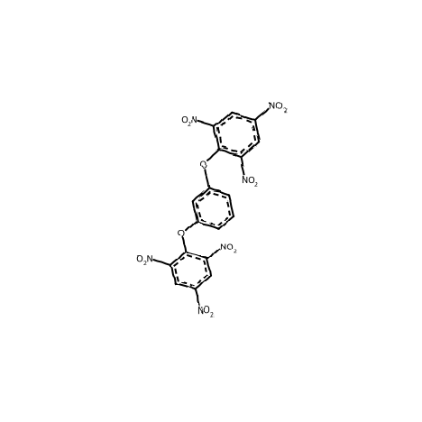 O=[N+]([O-])c1cc([N+](=O)[O-])c(Oc2cccc(Oc3c([N+](=O)[O-])cc([N+](=O)[O-])cc3[N+](=O)[O-])c2)c([N+](=O)[O-])c1